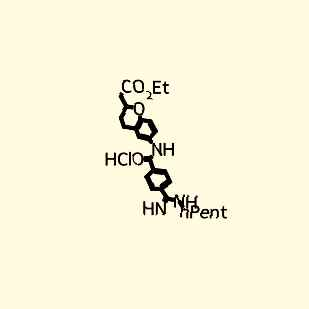 CCCCCNC(=N)c1ccc(C(=O)Nc2ccc3c(c2)CCC(CC(=O)OCC)O3)cc1.Cl